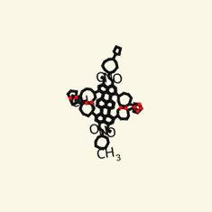 CC1CCCC(N2C(=O)c3cc(C4CCCC(C5CCCC5)CCC4)c4c5ccc6c7c(C8CCCC(C9CCCC9)CCC8)cc8c9c(cc(C%10CCCCC(C%11(C)CCCC%11)CCC%10)c(c%10ccc(c%11c(C%12CCCC(C%13CCCC%13)CCC%12)cc(c3c4%11)C2=O)c5c6%10)c97)C(=O)N(C2CCCCC(C3CCCC3)CCC2)C8=O)CCC1